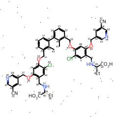 CC[C@@H](NCc1cc(Cl)c(OCc2cccc(-c3cccc(COc4cc(OCc5cncc(C#N)c5)c(CN[C@H](CC)C(=O)O)cc4Cl)c3C)c2C)cc1OCc1cncc(C#N)c1)C(=O)O